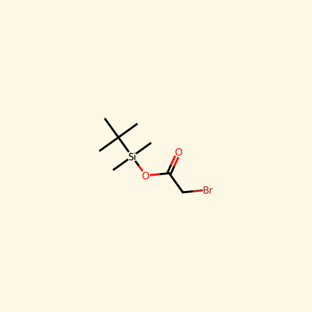 CC(C)(C)[Si](C)(C)OC(=O)CBr